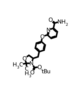 CC(C)(C)OC(=O)N1C(Cc2ccc(Oc3cccc(C(N)=O)n3)cc2)COC1(C)C